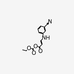 CCOC(=O)OC(=O)C=CNc1cccc(C#N)c1